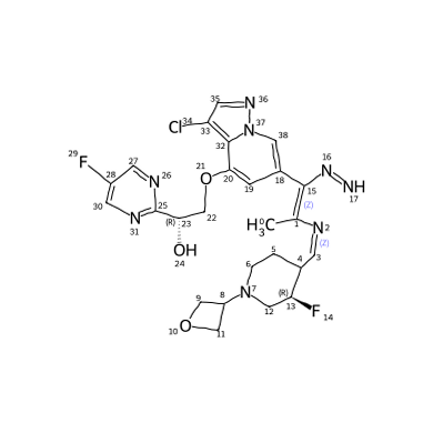 CC(/N=C\C1CCN(C2COC2)C[C@@H]1F)=C(/N=N)c1cc(OC[C@H](O)c2ncc(F)cn2)c2c(Cl)cnn2c1